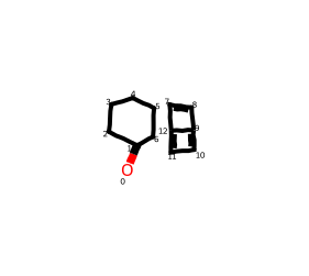 O=C1CCCCC1.c1cc2ccc1-2